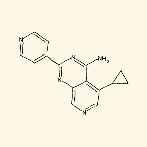 Nc1nc(-c2ccncc2)nc2cncc(C3CC3)c12